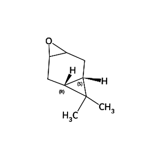 CC1(C)[C@@H]2CC3OC3C[C@@H]21